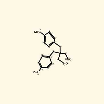 COc1ccc(CC(CN=O)(CN=O)Cc2ccc(OC)cc2)cc1